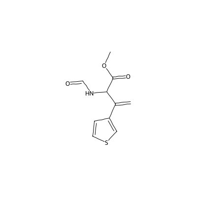 C=C(c1ccsc1)C(NC=O)C(=O)OC